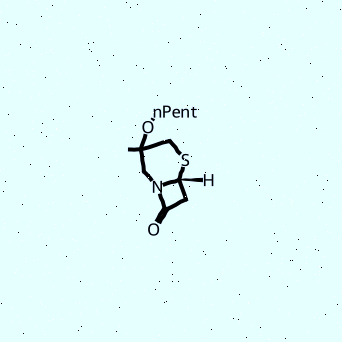 CCCCCOC1(C)CS[C@@H]2CC(=O)N2C1